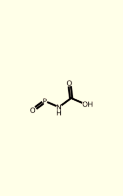 O=PNC(=O)O